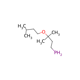 CC(C)CCOC(C)(C)CCP